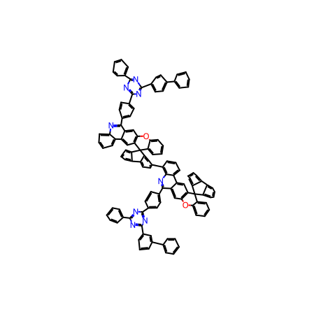 c1ccc(-c2ccc(-c3nc(-c4ccccc4)nc(-c4ccc(-c5nc6ccccc6c6cc7c(cc56)Oc5ccccc5C75c6ccccc6-c6ccc(-c7cccc8c7nc(-c7ccc(-c9nc(-c%10ccccc%10)nc(-c%10cccc(-c%11ccccc%11)c%10)n9)cc7)c7cc9c(cc78)C7(c8ccccc8O9)c8ccccc8-c8ccccc87)cc65)cc4)n3)cc2)cc1